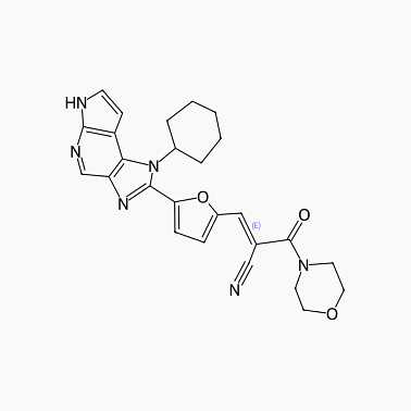 N#C/C(=C\c1ccc(-c2nc3cnc4[nH]ccc4c3n2C2CCCCC2)o1)C(=O)N1CCOCC1